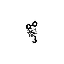 Cc1cccc(-c2ccccc2)c1NC(=O)C(=O)NCc1ccco1